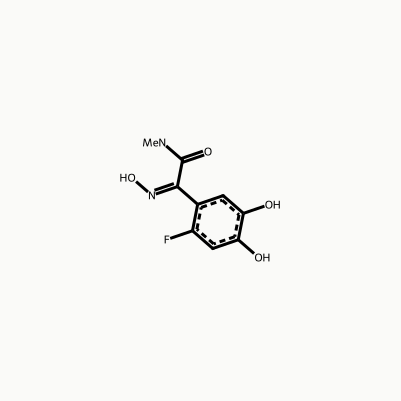 CNC(=O)C(=NO)c1cc(O)c(O)cc1F